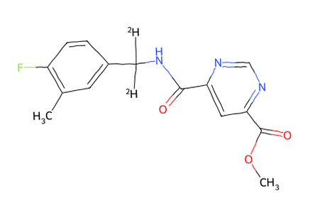 [2H]C([2H])(NC(=O)c1cc(C(=O)OC)ncn1)c1ccc(F)c(C)c1